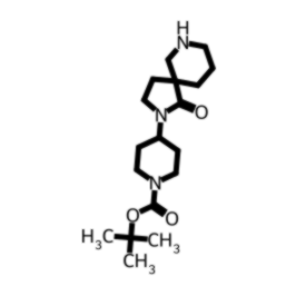 CC(C)(C)OC(=O)N1CCC(N2CCC3(CCCNC3)C2=O)CC1